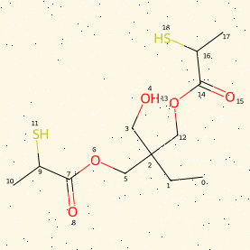 CCC(CO)(COC(=O)C(C)S)COC(=O)C(C)S